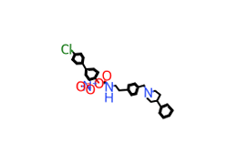 O=C(NCCc1ccc(CN2CCC(c3ccccc3)CC2)cc1)Oc1ccc(-c2ccc(Cl)cc2)cc1[N+](=O)[O-]